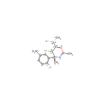 CC1=N[C@](C)(c2cc([N+](=O)[O-])ccc2F)[C@@H](F)[C@@H]([C@@H](C)F)O1